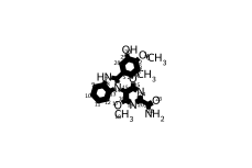 COc1ccc(C2Nc3ccccc3N2c2c(OC)nc(C(N)=O)nc2OC)cc1O